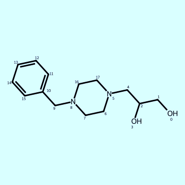 OCC(O)CN1CCN(Cc2ccccc2)CC1